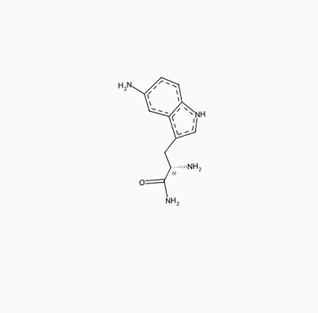 NC(=O)[C@@H](N)Cc1c[nH]c2ccc(N)cc12